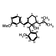 COc1cccc(/C=C2\CCCC(CN(C)C)C2(O)Cc2ccccc2C)c1